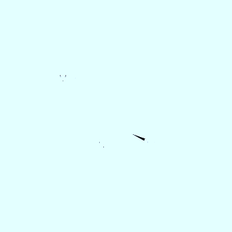 [CH2-][OH+]C1CN[C@H](C(=O)O)C1